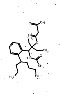 CCCCC(CCC)c1ccccc1C(NC(C)=O)C(CC)(CC)OC(=O)CC(=O)O